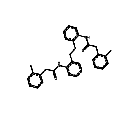 Cc1ccccc1CC(=O)Nc1ccccc1CCc1ccccc1NC(=O)Cc1ccccc1C